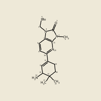 Cn1c(=O)n(CC(C)(C)C)c2ccc(C3=CC(N)C(C)(C)CC3)nc21